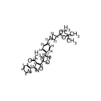 CC(=O)c1c(-c2ccccn2)noc1-c1nc(-c2ccc(CN3CC(C(=O)OC(C)(C)C)C3)cc2)no1